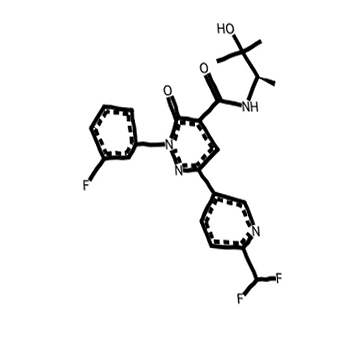 C[C@@H](NC(=O)c1cc(-c2ccc(C(F)F)nc2)nn(-c2cccc(F)c2)c1=O)C(C)(C)O